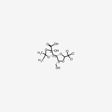 CC1(C)O[C@@H]([C@@H]2OC(C(Cl)(Cl)Cl)O[C@@H]2CO)[C@](O)(C(=O)O)O1